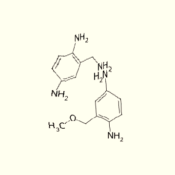 COCc1cc(N)ccc1N.NCc1cc(N)ccc1N